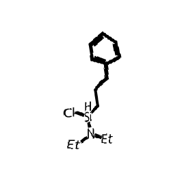 CCN(CC)[SiH](Cl)CCCc1ccccc1